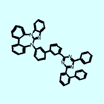 c1ccc(-c2nc(-c3cccc(-c4cccc(N5c6ccccc6-c6ccccc6-n6c5nc5ccccc56)c4)c3)nc(-c3ccccc3-c3ccccc3)n2)cc1